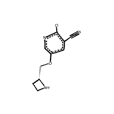 N#Cc1cc(OC[C@H]2CCN2)cnc1Cl